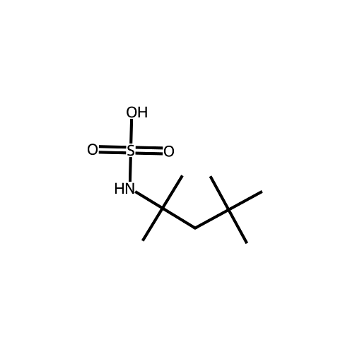 CC(C)(C)CC(C)(C)NS(=O)(=O)O